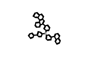 c1ccc(-c2ccc(N(c3cccc(-c4cccc5ccccc45)c3)c3cccc(-c4cc5ccc6ccccc6c5c5ccccc45)c3)cc2)cc1